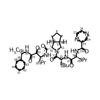 CCCC(NC(=O)[C@@H]1[C@H]2CCC[C@H]2CN1C(=O)[C@@H](NC(=O)[C@@H](NC(=O)c1cnccn1)C(C)C)C(C)(C)C)C(=O)C(=O)N[C@@H](C)c1ccccc1